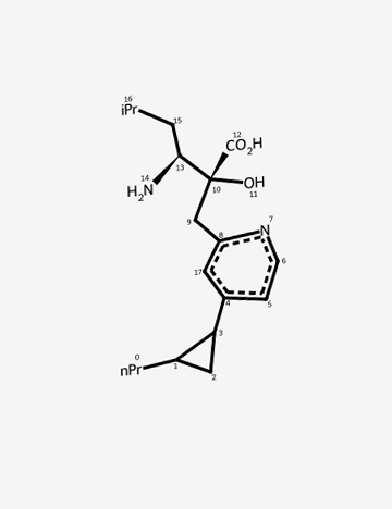 CCCC1CC1c1ccnc(C[C@](O)(C(=O)O)[C@@H](N)CC(C)C)c1